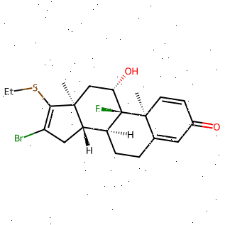 CCSC1=C(Br)C[C@H]2[C@@H]3CCC4=CC(=O)C=C[C@]4(C)[C@@]3(F)[C@@H](O)C[C@]12C